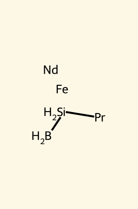 B[SiH2][Pr].[Fe].[Nd]